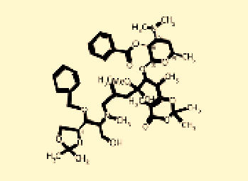 COC(C)(CC(C)CN(C)C(CO)C(OCc1ccccc1)[C@@H]1COC(C)(C)O1)C(O[C@@H]1O[C@H](C)C[C@H](N(C)C)[C@H]1OC(=O)c1ccccc1)C(C)C1=C(C)C(=O)OC(C)(C)O1